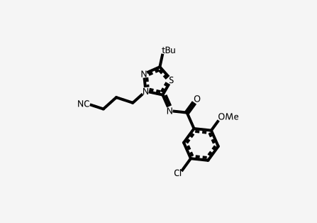 COc1ccc(Cl)cc1C(=O)/N=c1\sc(C(C)(C)C)nn1CCCC#N